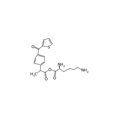 CC(C(=O)OC(=O)[C@@H](N)CCCCN)c1ccc(C(=O)c2cccs2)cc1